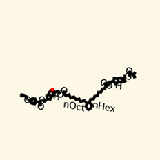 C#CCOc1ccc(C(=O)OCC2CC3C4CC(COC(=O)CCCCCCCCC5C(CCCCCCCC)CCC(CCCCCC)C5CCCCCCCCC(=O)OCC5CC6C7CC(CC7COC(=O)C(=C)C)[C@H]6C5)[C@@H](C4)C3C2)cc1